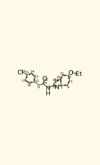 CCOc1ccc2nc(NC(=O)Cc3ccc(Cl)cc3)sc2c1